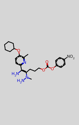 Cc1nc(/C(N)=C(\CCCOC(=O)Oc2ccc([N+](=O)[O-])cc2)N(C)N)ccc1OC1CCCCC1